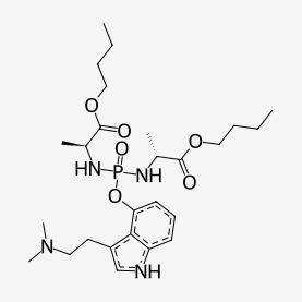 CCCCOC(=O)[C@H](C)NP(=O)(N[C@H](C)C(=O)OCCCC)Oc1cccc2[nH]cc(CCN(C)C)c12